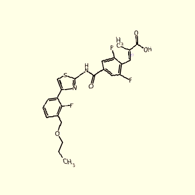 CCCOCc1cccc(-c2csc(NC(=O)c3cc(F)c(/C=C(\C)C(=O)O)c(F)c3)n2)c1F